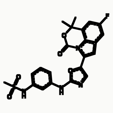 CC1(C)OC(=O)n2c(-c3cnc(Nc4cccc(NS(C)(=O)=O)c4)o3)cc3cc(F)cc1c32